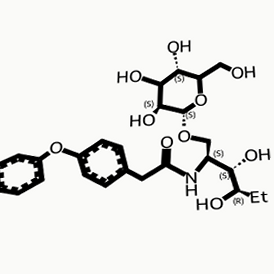 CC[C@@H](O)[C@@H](O)[C@H](CO[C@H]1OC(CO)[C@@H](O)C(O)[C@@H]1O)NC(=O)Cc1ccc(Oc2ccccc2)cc1